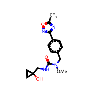 CON(Cc1ccc(-c2noc(C(F)(F)F)n2)cc1)C(=O)NCC1(O)CC1